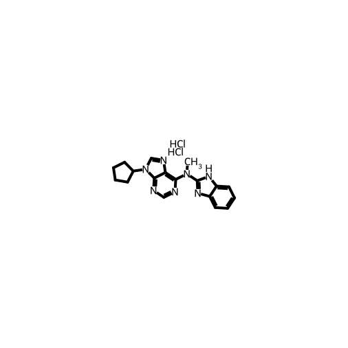 CN(c1nc2ccccc2[nH]1)c1ncnc2c1ncn2C1CCCC1.Cl.Cl